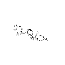 CC(C)C1CCN(CC(=O)Nc2cccc(NC3CCC(=O)NC3=O)c2)CC1